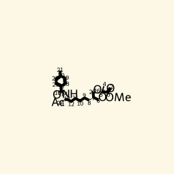 COC(=O)[C@]1(C)OC[C@H](CCCCCC(NC(=O)c2ccc(C)cc2)C(C)=O)CO1